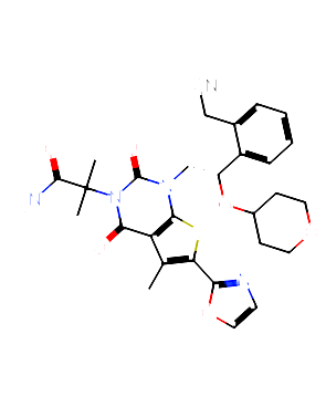 Cc1c(-c2ncco2)sc2c1c(=O)n(C(C)(C)C(N)=O)c(=O)n2C[C@@H](OC1CCOCC1)c1ccccc1CC#N